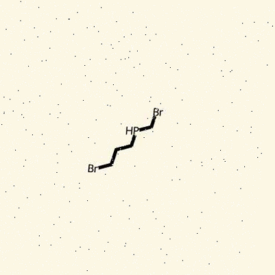 BrCCCPCBr